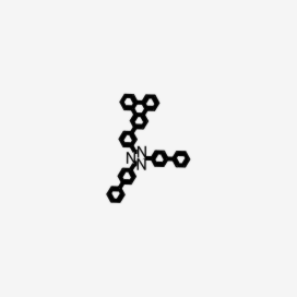 C1=c2c(c3cc(-c4cccc(-c5nc(-c6ccc(-c7ccccc7)cc6)nc(-c6ccc(-c7ccccc7)cc6)n5)c4)ccc3c3ccccc23)=CCC1